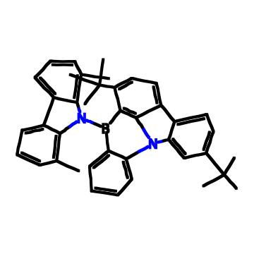 Cc1cccc2c3cccc(C)c3n(B3c4ccccc4-n4c5cc(C(C)(C)C)ccc5c5ccc(C(C)(C)C)c3c54)c12